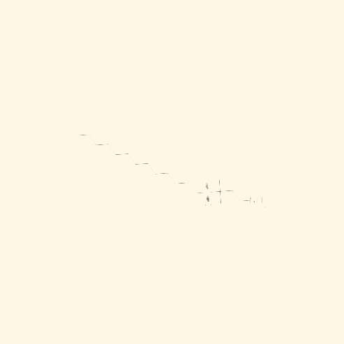 CCCCCCCCCCCCOS(=O)(=O)C(C)(C)CCN